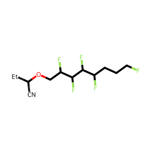 CCC(C#N)OCC(F)C(F)C(F)C(F)CCCF